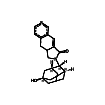 O=C1C2=Cc3cnccc3CC2CN1[C@H]1[C@@H]2CC3C[C@H]1C[C@](O)(C3)C2